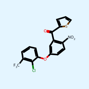 O=C(c1cccs1)c1cc(Oc2cccc(C(F)(F)F)c2Cl)ccc1[N+](=O)[O-]